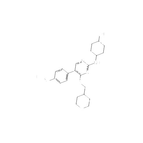 CC1CCC(Nc2ncc(-c3ccc(OC(F)(F)F)cc3)c(OCC3CCOCC3)n2)CC1